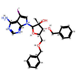 C[C@]1(O)C(n2cc(I)c3c(N)ncnc32)O[C@H](COCc2ccccc2)[C@H]1OCc1ccccc1